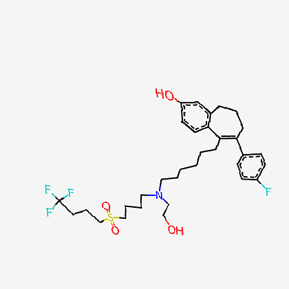 O=S(=O)(CCCCN(CCO)CCCCCCC1=C(c2ccc(F)cc2)CCCc2cc(O)ccc21)CCCC(F)(F)F